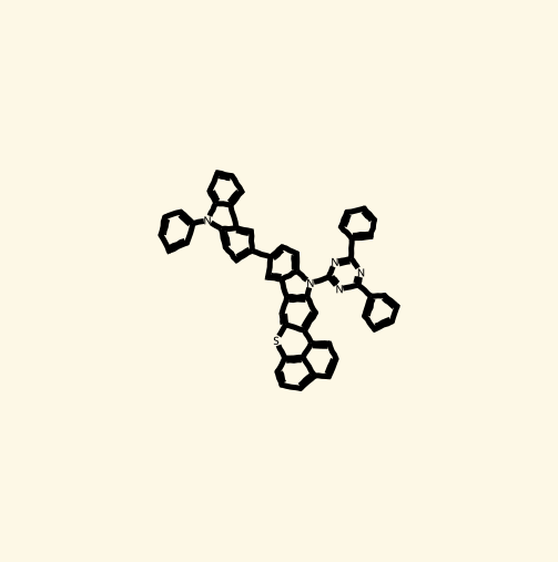 c1ccc(-c2nc(-c3ccccc3)nc(-n3c4ccc(-c5ccc6c(c5)c5ccccc5n6-c5ccccc5)cc4c4cc5c(cc43)-c3cccc4cccc(c34)S5)n2)cc1